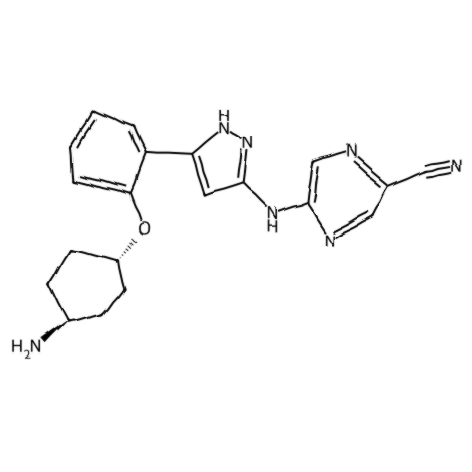 N#Cc1cnc(Nc2cc(-c3ccccc3O[C@H]3CC[C@H](N)CC3)[nH]n2)cn1